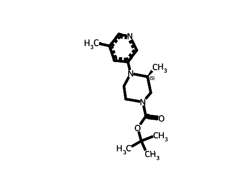 Cc1cncc(N2CCN(C(=O)OC(C)(C)C)C[C@@H]2C)c1